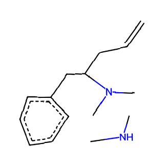 C=CCC(Cc1ccccc1)N(C)C.CNC